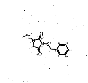 CN1CC(=O)N(SCc2ccccc2)C1=O